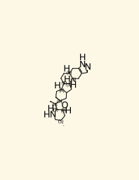 C[C@@H]1CN[C@H]2[C@@H](C)[C@@]3(CC[C@@H]4C(C[C@H]5[C@H]4CC[C@@H]4Cc6[nH]ncc6C[C@@]45C)C3)O[C@@H]2C1